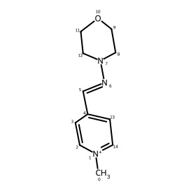 C[n+]1ccc(/C=N/N2CCOCC2)cc1